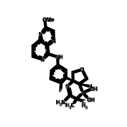 COc1cnc2c(Nc3ccc(F)c([C@@]45COC[C@@H]4S(O)(O)C(C)(C)C(N)=N5)c3)nccc2n1